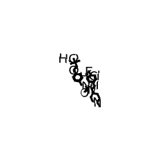 CN1CCC(N(Cc2ccc(F)cc2)C(=O)NCc2ccc(OCC(C)(C)O)cc2)CC1.Cl